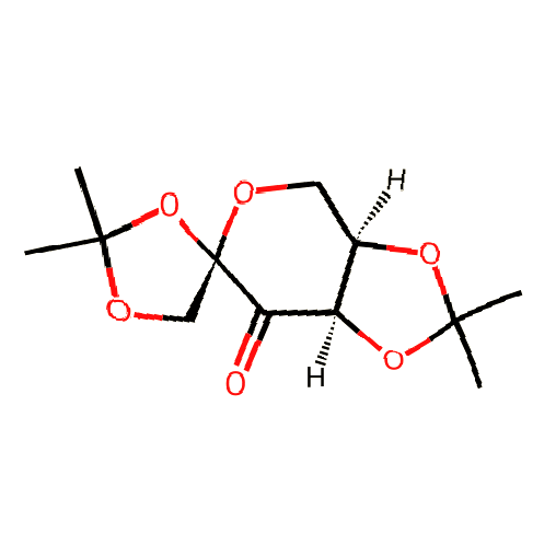 CC1(C)O[C@@H]2CO[C@]3(COC(C)(C)O3)C(=O)[C@@H]2O1